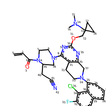 C=CC(=O)N1CCN(c2nc(OCC3(N(C)C)CC3)nc3c2CCN(c2cccc4ccc(F)c(Cl)c24)C3)CC1CC#N